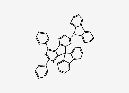 c1ccc(-c2nc(-c3ccccc3)c3c(n2)C2(c4ccccc4-c4ccccc42)c2cc(-n4c5ccccc5c5ccccc54)ccc2-3)cc1